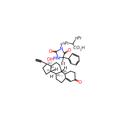 C#C[C@]1(O)CC[C@H]2[C@@H]3CCC4=CC(=O)CC[C@]4(C)[C@H]3CC[C@@]21C.CCC1(c2ccccc2)NC(=O)N(C)C1=O.CCCC(CCC)C(=O)O